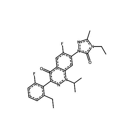 CCc1cccc(F)c1-c1nn(C(C)C)c2cc(-n3nc(C)n(CC)c3=O)c(F)cc2c1=O